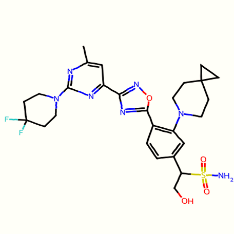 Cc1cc(-c2noc(-c3ccc(C(CO)S(N)(=O)=O)cc3N3CCC4(CC3)CC4)n2)nc(N2CCC(F)(F)CC2)n1